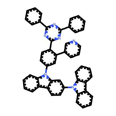 c1ccc(-c2nc(-c3ccccc3)nc(-c3ccc(-n4c5ccccc5c5ccc(-n6c7ccccc7c7ccccc76)cc54)cc3-c3cccnc3)n2)cc1